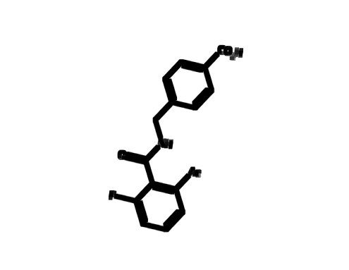 CC(=O)c1cccc(F)c1C(=O)NCc1ccc(C(=O)O)cc1